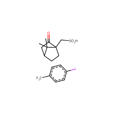 CC1(C)C2CCC1(CS(=O)(=O)O)C(=O)C2.FC(F)(F)c1ccc(I)cc1